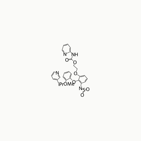 CC(C)c1cccnc1.COc1ccccc1Oc1c(N=S(=O)=O)cccc1OCCOC(=O)Nc1ccccn1